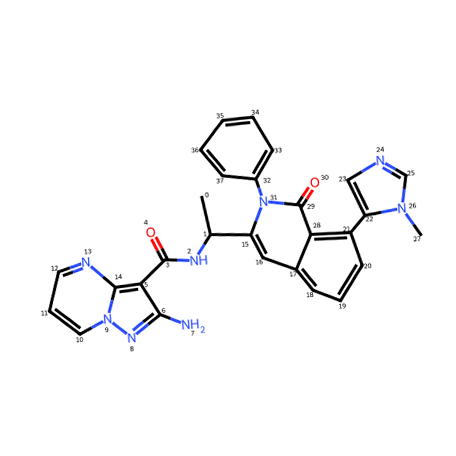 CC(NC(=O)c1c(N)nn2cccnc12)c1cc2cccc(-c3cncn3C)c2c(=O)n1-c1ccccc1